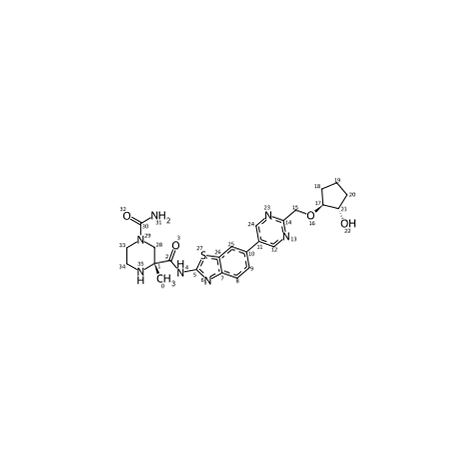 C[C@]1(C(=O)Nc2nc3ccc(-c4cnc(CO[C@H]5CCC[C@@H]5O)nc4)cc3s2)CN(C(N)=O)CCN1